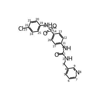 O=C(NCc1cccnc1)Nc1ccc(S(=O)(=O)Nc2ccc(Cl)cc2)cc1